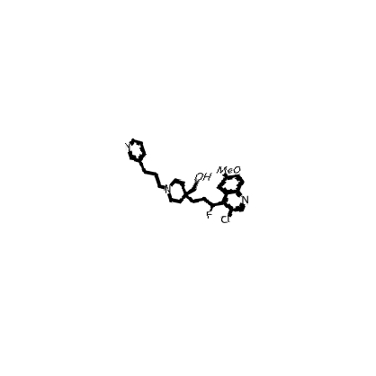 COc1ccc2ncc(Cl)c([C@@H](F)CCC3(CO)CCN(CCCc4cccnc4)CC3)c2c1